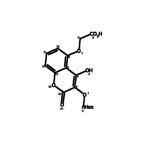 CCCCCCOc1c(O)c2c(OCC(=O)O)cccc2oc1=O